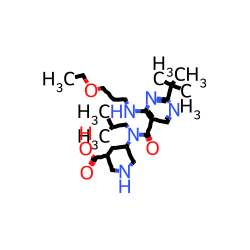 CCOCCCNc1nc(C(C)(C)C)ncc1C(=O)N(CC(C)C)C1CNCC(C(=O)O)C1